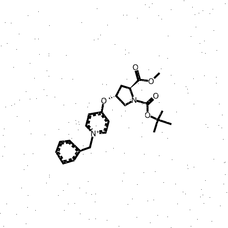 COC(=O)[C@@H]1C[C@@H](Oc2cc[n+](Cc3ccccc3)cc2)CN1C(=O)OC(C)(C)C